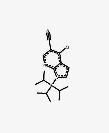 CC(C)[Si](C(C)C)(C(C)C)n1ccc2c(Cl)c(C#N)cnc21